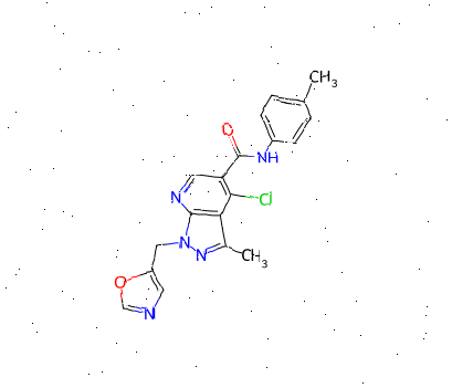 Cc1ccc(NC(=O)c2cnc3c(c(C)nn3Cc3cnco3)c2Cl)cc1